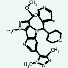 COC(=O)c1nn(C)c2c3ncc(-c4c(C)nnn4C)cc3n(C(c3ccncc3F)C3CCOCC3)c12